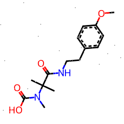 COc1ccc(CCNC(=O)C(C)(C)N(C)C(=O)O)cc1